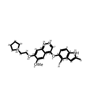 COc1cc2c(Oc3ccc4[nH]c(C)cc4c3F)cnnc2cc1OCCN1CCCC1